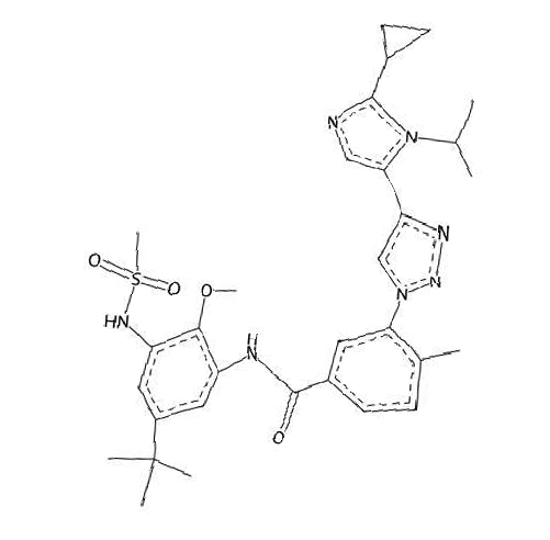 COc1c(NC(=O)c2ccc(C)c(-n3cc(-c4cnc(C5CC5)n4C(C)C)nn3)c2)cc(C(C)(C)C)cc1NS(C)(=O)=O